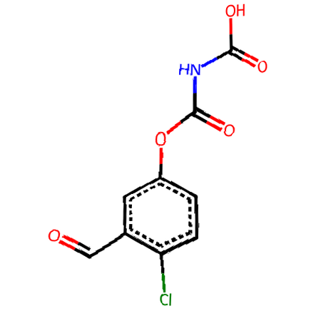 O=Cc1cc(OC(=O)NC(=O)O)ccc1Cl